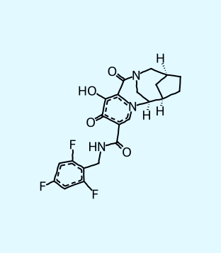 O=C(NCc1c(F)cc(F)cc1F)c1cn2c(c(O)c1=O)C(=O)N1C[C@H]3CC[C@H](C3)[C@@H]2C1